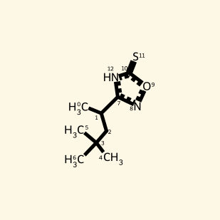 CC(CC(C)(C)C)c1noc(=S)[nH]1